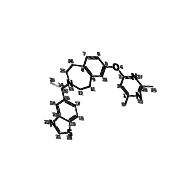 Cc1cc(Oc2ccc3c(c2)CCN([C@@H](C)c2ccc4scnc4c2)CC3)nc(C)n1